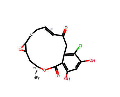 CCC[C@@H]1CC2OC2CC/C=C/C(=O)Cc2c(Cl)c(O)cc(O)c2C(=O)O1